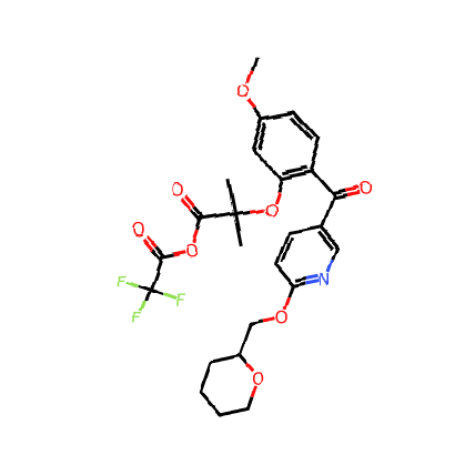 COc1ccc(C(=O)c2ccc(OCC3CCCCO3)nc2)c(OC(C)(C)C(=O)OC(=O)C(F)(F)F)c1